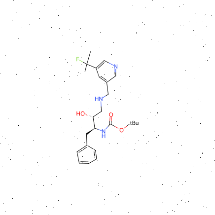 CC(C)(C)OC(=O)N[C@@H](Cc1ccccc1)[C@H](O)CNCc1cncc(C(C)(C)F)c1